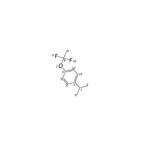 CC(C)c1ccc(OC(C)(F)F)cc1